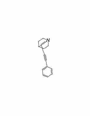 C(#Cc1ccccc1)C1=CN2CCC1CC2